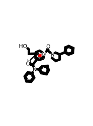 O=C(N1CCCC(c2ccccc2)C1)N1CC2CCC1CN(C(=O)N(c1ccccc1)c1ccccc1)[C@@H]2CCO